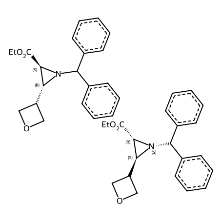 CCOC(=O)[C@@H]1[C@@H](C2COC2)N1C(c1ccccc1)c1ccccc1.CCOC(=O)[C@H]1[C@H](C2COC2)[N@@]1C(c1ccccc1)c1ccccc1